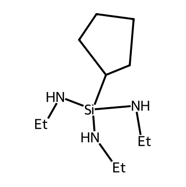 CCN[Si](NCC)(NCC)C1CCCC1